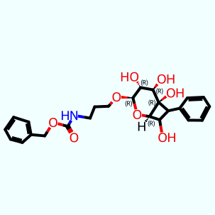 O=C(NCCCO[C@@H]1O[C@@H]2C(O)C(c3ccccc3)[C@@]2(O)[C@H](O)[C@H]1O)OCc1ccccc1